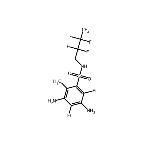 CCc1c(N)c(C)c(S(=O)(=O)NCC(F)(F)C(F)(F)C(F)(F)F)c(CC)c1N